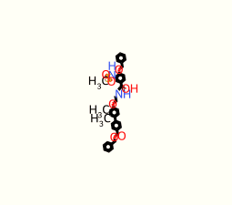 Cc1c(OCCNC[C@H](O)c2ccc(OCc3ccccc3)c(NS(C)(=O)=O)c2)ccc(-c2ccc(C(=O)OCc3ccccc3)cc2)c1C